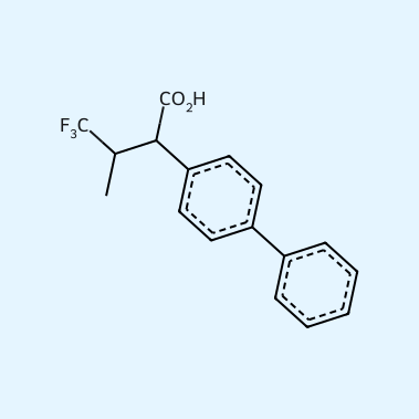 CC(C(C(=O)O)c1ccc(-c2ccccc2)cc1)C(F)(F)F